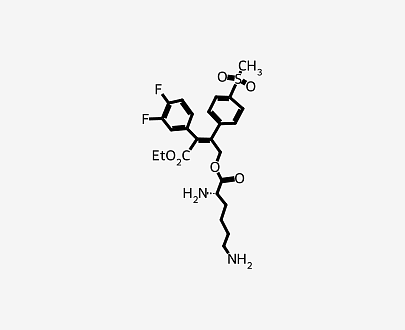 CCOC(=O)/C(=C(\COC(=O)[C@@H](N)CCCCN)c1ccc(S(C)(=O)=O)cc1)c1ccc(F)c(F)c1